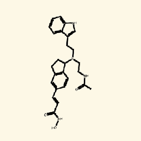 CC(=O)NCCN(CCc1c[nH]c2ccccc12)C1CCc2cc(/C=C/C(=O)NO)ccc21